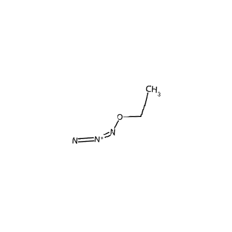 CCON=[N+]=[N-]